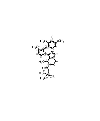 Cc1cc(-n2nc3c(c2-n2ccn(C)c2=O)[C@H](C)N(C(=O)OC(C)(C)C)CC3)cc(C)c1F